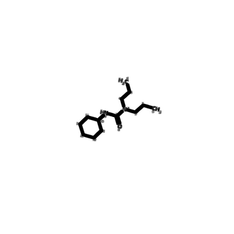 CCCN(CCC)C(=O)NC1CCCCC1